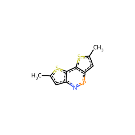 Cc1cc2npc3cc(C)sc3c2s1